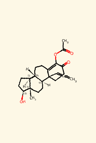 C=C=CC12CCC(=O)C(OC(C)=O)=C1CC[C@@H]1[C@@H]2CC[C@]2(C)[C@@H](O)CC[C@@H]12